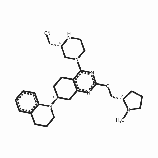 CN1CCC[C@H]1COc1nc2c(c(N3CCN[C@@H](CC#N)C3)n1)CC[C@H](N1CCCc3ccccc31)C2